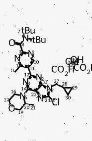 Cc1nc(C(=O)N(C(C)(C)C)C(C)(C)C)ncc1-c1nc(N2CCOC[C@@H]2C)c2nc(Cl)n(CC3CC3)c2n1.O=C(O)O.O=C(O)O